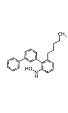 CCCCCc1cccc(NO)c1-c1cccc(-c2ccccc2)c1